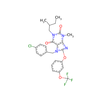 CCC(C)Cn1c(=O)c2c(nc(Oc3cccc(OC(F)(F)F)c3)n2Cc2ccc(Cl)cc2)n(C)c1=O